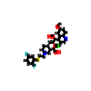 COc1ccc2ncc(Cl)c([C@H](O)CC[C@H]3CCN(CCSc4cc(F)ccc4F)C[C@H]3C(=O)O)c2c1